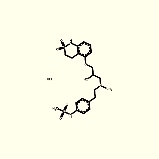 CN(CCc1ccc(NS(C)(=O)=O)cc1)CC(O)COc1cccc2c1CCS(=O)(=O)N2.Cl